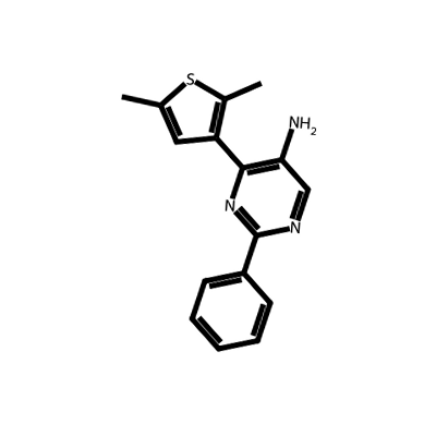 Cc1cc(-c2nc(-c3ccccc3)ncc2N)c(C)s1